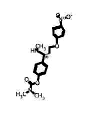 CN[C@H](CCOc1ccc([N+](=O)[O-])cc1)c1ccc(OC(=O)N(C)C)cc1